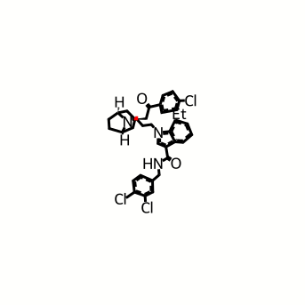 CCc1cccc2c(C(=O)NCc3ccc(Cl)c(Cl)c3)cn(CCCN3[C@@H]4CC[C@H]3C[C@@H](CC(=O)c3ccc(Cl)cc3)C4)c12